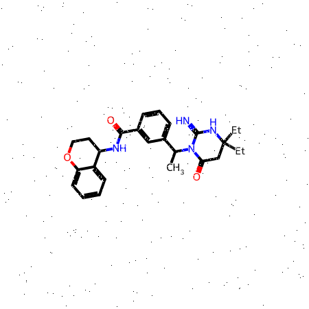 CCC1(CC)CC(=O)N(C(C)c2cccc(C(=O)NC3CCOc4ccccc43)c2)C(=N)N1